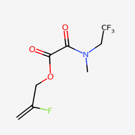 C=C(F)COC(=O)C(=O)N(C)CC(F)(F)F